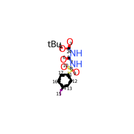 CC(C)(C)OC(=O)NC(=O)NS(=O)(=O)c1ccc(I)cc1